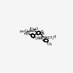 CCC(=O)Nc1cc2onc(C(=O)Nc3ccc(C#N)cc3C(=O)O)c2cc1-c1cc(NC(=O)OC)ccc1OC